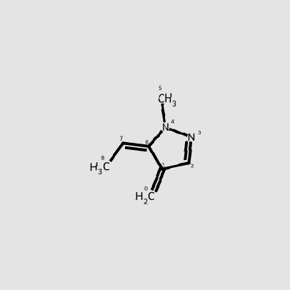 C=c1cnn(C)/c1=C/C